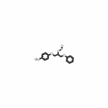 CC(C)(C)c1ccc(OCC(COc2ccccc2)OP=O)cc1